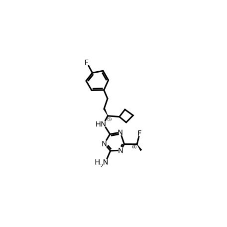 C[C@H](F)c1nc(N)nc(N[C@@H](CCc2ccc(F)cc2)C2CCC2)n1